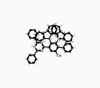 N#Cc1cc(-c2nc(-c3ccccc3)nc(-c3ccccc3)n2)c(C2c3ccccc3-c3ccccc32)c(-n2c3ccccc3c3ccccc32)c1-c1ccccc1